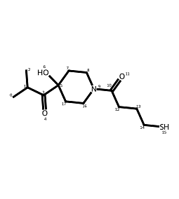 CC(C)C(=O)C1(O)CCN(C(=O)CCCS)CC1